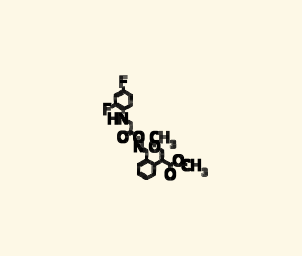 CO/C=C(/C(=O)OC)c1ccccc1/C=N/OC(=O)CNc1ccc(F)cc1F